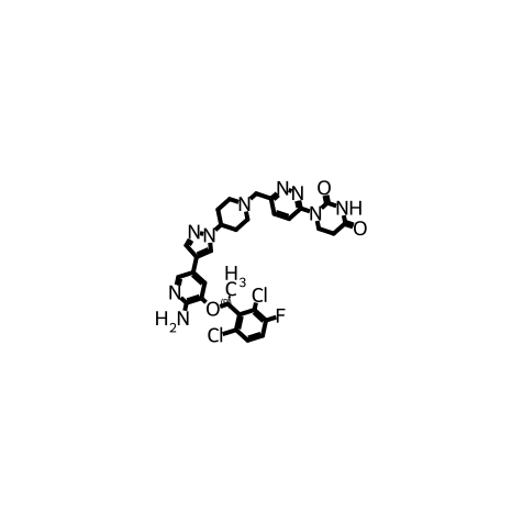 C[C@@H](Oc1cc(-c2cnn(C3CCN(Cc4ccc(N5CCC(=O)NC5=O)nn4)CC3)c2)cnc1N)c1c(Cl)ccc(F)c1Cl